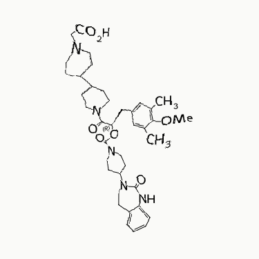 COc1c(C)cc(C[C@@H](OC(=O)N2CCC(N3CCc4ccccc4NC3=O)CC2)C(=O)N2CCC(C3CCN(CC(=O)O)CC3)CC2)cc1C